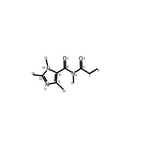 CCC(=O)N(C)C(=O)c1c(C)nc(C)n1C